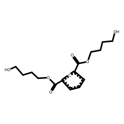 O=C(OCCCCO)c1cccc(C(=O)OCCCCO)c1